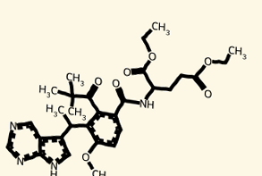 CCOC(=O)CCC(NC(=O)c1ccc(OC)c(C(C)c2c[nH]c3ncncc23)c1C(=O)C(C)(C)C)C(=O)OCC